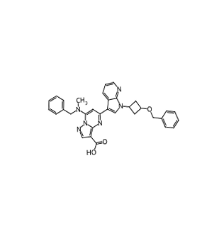 CN(Cc1ccccc1)c1cc(-c2cn(C3CC(OCc4ccccc4)C3)c3ncccc23)nc2c(C(=O)O)cnn12